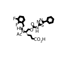 CC(=O)N(NCc1cccc(F)c1F)[C@@H](CCCC(=O)O)COC(=O)Nc1nnc(-c2ccccc2)s1